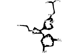 Cc1cc(O)cc(-c2nn(CCC#N)cc2-c2ccnc(NC[C@H](C)O)n2)c1